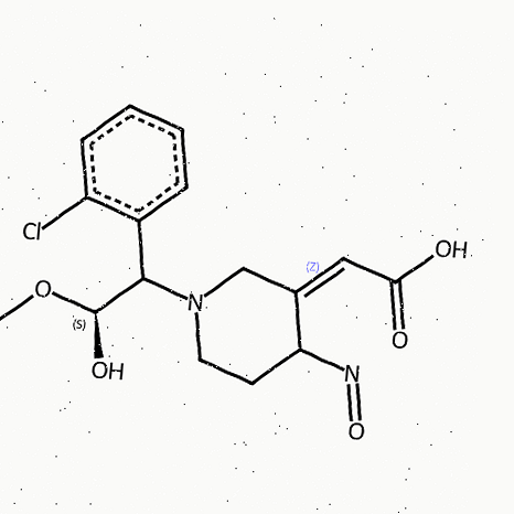 CO[C@H](O)C(c1ccccc1Cl)N1CCC(N=O)/C(=C\C(=O)O)C1